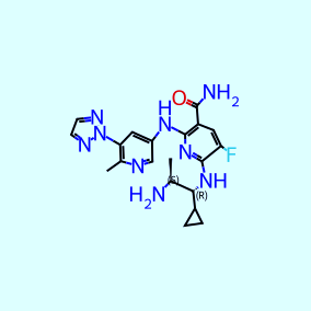 Cc1ncc(Nc2nc(N[C@H](C3CC3)[C@H](C)N)c(F)cc2C(N)=O)cc1-n1nccn1